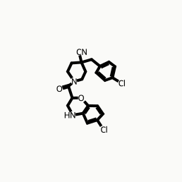 N#CC1(Cc2ccc(Cl)cc2)CCN(C(=O)C2CNc3cc(Cl)ccc3O2)CC1